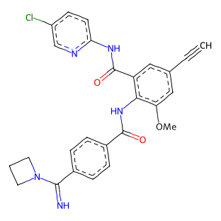 C#Cc1cc(OC)c(NC(=O)c2ccc(C(=N)N3CCC3)cc2)c(C(=O)Nc2ccc(Cl)cn2)c1